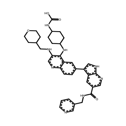 O=C(O)NC1CCC(Nc2c(NCC3CCOCC3)cnc3ccc(-c4c[nH]c5ncc(C(=O)NCc6cccnc6)cc45)cc23)CC1